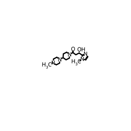 CN1CCN(C2CCN(C(=O)C[C@H](O)c3nccn3C)CC2)CC1